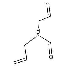 C=CC[SH](C=O)CC=C